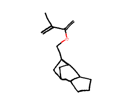 C=C(C)C(=C)OCC1CC2CC1C1CCCC21